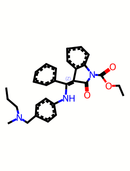 CCCN(C)Cc1ccc(N/C(=C2\C(=O)N(C(=O)OCC)c3ccccc32)c2ccccc2)cc1